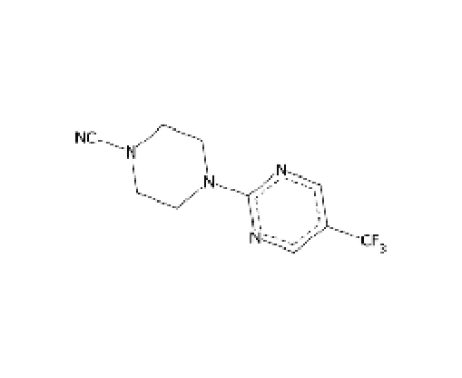 N#CN1CCN(c2ncc(C(F)(F)F)cn2)CC1